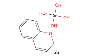 C1=Cc2ccccc2OC1.O[Si](O)(O)O.[Zn]